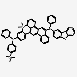 C[Si](C)(C)c1ccc(N(c2ccccc2)c2ccc3c(c2)[Si](C)(C)c2cccc4c2c-3cc2c3ccccc3c(N(c3ccccc3)c3ccc5sc6ccccc6c5c3)cc42)cc1